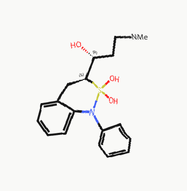 CNCC[C@@H](O)[C@@H]1Cc2ccccc2N(c2ccccc2)S1(O)O